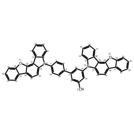 N#Cc1cc(-c2ccc(-n3c4ccccc4c4c5oc6ccccc6c5ccc43)cc2)cc(-n2c3ccccc3c3c4oc5ccccc5c4ccc32)c1